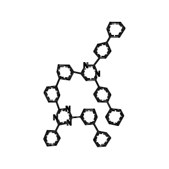 c1ccc(-c2ccc(-c3cc(-c4cccc(-c5cccc(-c6nc(-c7ccccc7)nc(-c7cccc(-c8ccccc8)c7)n6)c5)c4)nc(-c4ccc(-c5ccccc5)cc4)n3)cc2)cc1